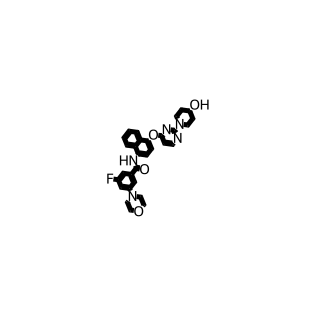 O=C(Nc1ccc(Oc2ccnc(N3CCC(O)CC3)n2)c2ccccc12)c1cc(F)cc(N2CCOCC2)c1